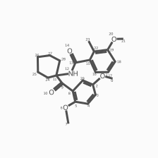 COc1ccc(OC)c(C(=O)C2(NC(=O)c3cccc(OC)c3C)CCCCC2)c1